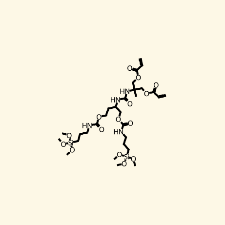 C=CC(=O)OCC(C)(COC(=O)C=C)NC(=O)NC(CCOC(=O)NCCC[Si](OC)(OC)OC)COC(=O)NCCC[Si](OC)(OC)OC